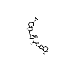 O=C(NCc1cc2c(Cl)nccc2s1)C1=CN(Cc2cn3cc(C4CC4)ccc3n2)NN1